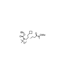 CON(C)C(=O)CCC[C@@H](CC1CCC1)[C@@H]1COC(C)(C)N1C(=O)OC(C)(C)C